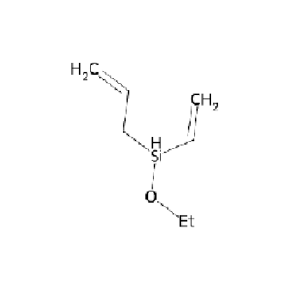 C=CC[SiH](C=C)OCC